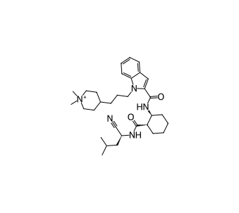 CC(C)C[C@@H](C#N)NC(=O)[C@@H]1CCCC[C@@H]1NC(=O)c1cc2ccccc2n1CCCC1CC[N+](C)(C)CC1